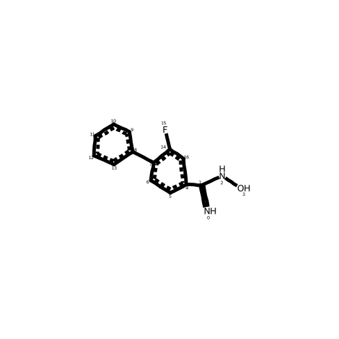 N=C(NO)c1ccc(-c2ccccc2)c(F)c1